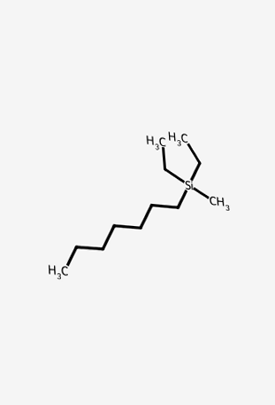 CCCCCCC[Si](C)(CC)CC